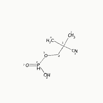 CC(C)(C#N)CO[PH](=O)O